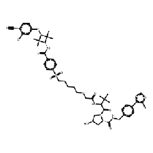 Cc1ncsc1-c1ccc(CNC(=O)[C@@H]2C[C@@H](O)CN2C(=O)C(NC(=O)COCCCCCS(=O)(=O)c2ccc(C(=O)N[C@H]3C(C)(C)[C@H](Oc4ccc(C#N)c(Cl)c4)C3(C)C)cc2)C(C)(C)C)cc1